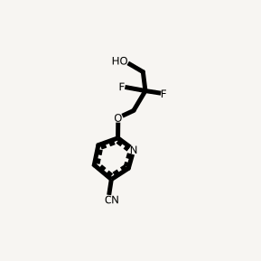 N#Cc1ccc(OCC(F)(F)CO)nc1